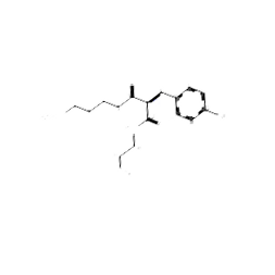 COCCCCC(=O)/C(=C/c1ccc([N+](=O)[O-])cc1)C(=O)OCCC#N